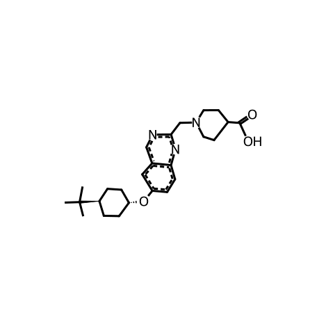 CC(C)(C)[C@H]1CC[C@H](Oc2ccc3nc(CN4CCC(C(=O)O)CC4)ncc3c2)CC1